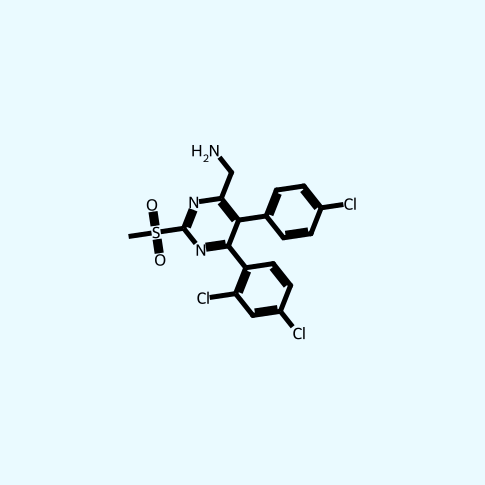 CS(=O)(=O)c1nc(CN)c(-c2ccc(Cl)cc2)c(-c2ccc(Cl)cc2Cl)n1